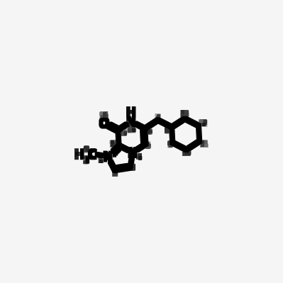 C[n+]1ccn2cc(CC3CCCCC3)[nH]c(=O)c21